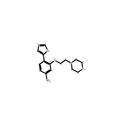 O=[N+]([O-])c1ccc(-c2cnco2)c(OCCN2CCOCC2)c1